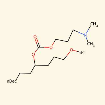 CCCCCCCCCCCCC(CCCOC(C)C)OC(=O)OCCCN(C)C